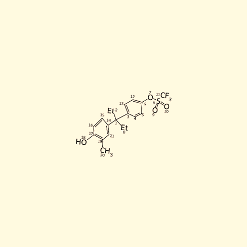 CCC(CC)(c1ccc(OS(=O)(=O)C(F)(F)F)cc1)c1ccc(O)c(C)c1